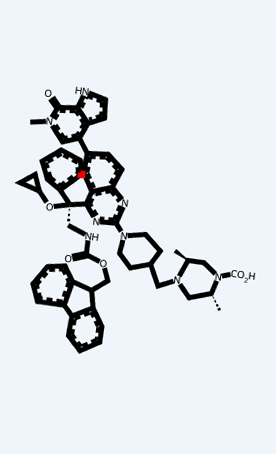 C[C@@H]1CN(CC2CCN(c3nc([C@@](CNC(=O)OCC4c5ccccc5-c5ccccc54)(OC4CC4)c4ccccc4)c4cc(-c5cn(C)c(=O)c6[nH]ccc56)ccc4n3)CC2)[C@@H](C)CN1C(=O)O